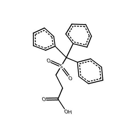 O=C(O)CCS(=O)(=O)C(c1ccccc1)(c1ccccc1)c1ccccc1